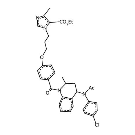 CCOC(=O)c1c(C)ncn1CCCOc1ccc(C(=O)N2c3ccccc3C(N(C(C)=O)c3ccc(Cl)cc3)CC2C)cc1